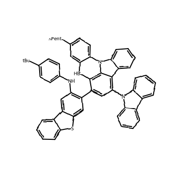 CCCCCc1ccc2c(c1)Bc1c(-c3cc4sc5ccccc5c4cc3Nc3ccc(C(C)(C)C)cc3)cc(-n3c4ccccc4c4ccccc43)c3c4ccccc4n-2c13